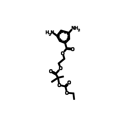 CCOC(=O)OC(C)(C)C(=O)OCCOC(=O)c1cc(N)cc(N)c1